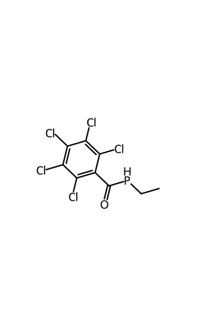 CCPC(=O)c1c(Cl)c(Cl)c(Cl)c(Cl)c1Cl